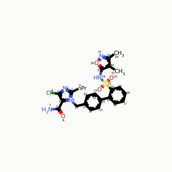 CCCc1nc(Cl)c(C(N)=O)n1Cc1ccc(-c2ccccc2S(=O)(=O)Nc2onc(C)c2C)cc1